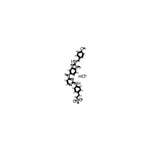 COc1ccc(CNc2nc3cc(N(C)c4ccnc(Nc5ccc(CCS(C)(=O)=O)cc5)n4)ccc3n2C)cc1.Cl